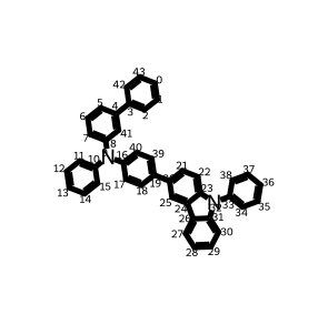 c1ccc(-c2cccc(N(c3ccccc3)c3ccc(-c4ccc5c(c4)c4ccccc4n5-c4ccccc4)cc3)c2)cc1